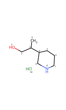 CC(CO)C1CCCNC1.Cl